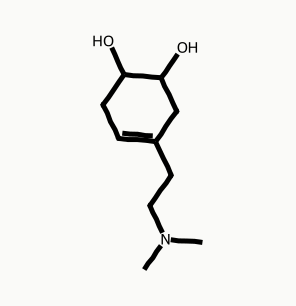 CN(C)CCC1=CCC(O)C(O)C1